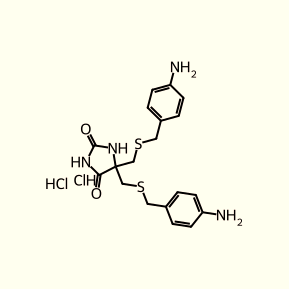 Cl.Cl.Nc1ccc(CSCC2(CSCc3ccc(N)cc3)NC(=O)NC2=O)cc1